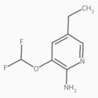 CCc1cnc(N)c(OC(F)F)c1